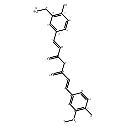 COc1cc(C=CC(=O)CC(=O)C=Cc2ccc(C)c(CO)c2)ccc1C